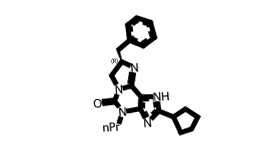 CCCN1C(=O)N2C[C@@H](Cc3ccccc3)N=C2c2[nH]c(C3CCCC3)nc21